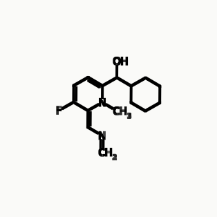 C=N/C=C1/C(F)=CC=C(C(O)C2CCCCC2)N1C